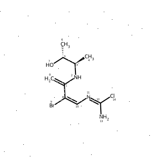 C=C(N[C@H](C)[C@@H](C)O)/C(Br)=C\N=C(/N)Cl